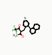 CC(=O)C(Cc1ccccc1-c1cccc2ccccc12)C(=O)C(F)(F)F.[Ti]